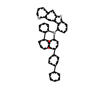 c1ccc(-c2ccc(-c3ccc(N(c4ccccc4-c4ccccc4)c4cccc5sc6cc7cccnc7cc6c45)cc3)cc2)cc1